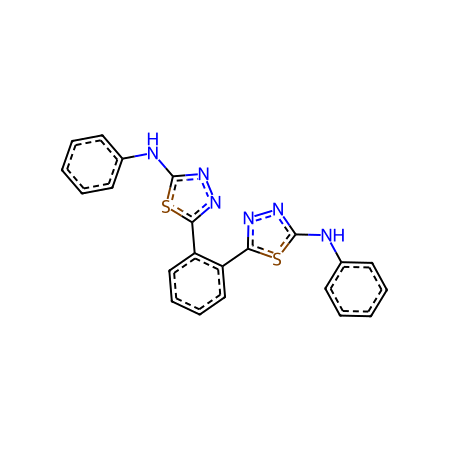 c1ccc(Nc2nnc(-c3ccccc3-c3nnc(Nc4ccccc4)s3)s2)cc1